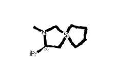 CC(C)[C@@H]1C[Si]2(CCCC2)CN1C